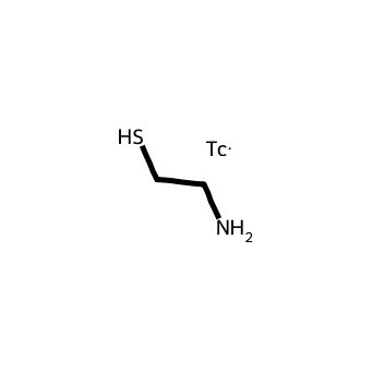 NCCS.[Tc]